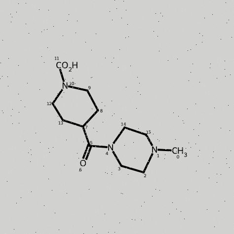 CN1CCN(C(=O)C2CCN(C(=O)O)CC2)CC1